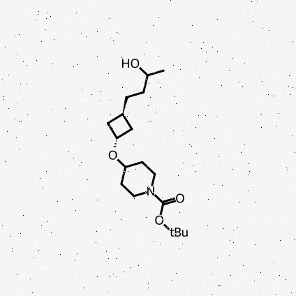 CC(O)CC[C@H]1C[C@H](OC2CCN(C(=O)OC(C)(C)C)CC2)C1